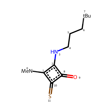 CNc1c(NCCCC(C)(C)C)c(=O)c1=S